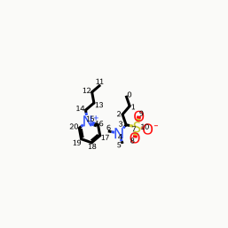 CCCC(N(C)C)S(=O)(=O)[O-].CCCC[n+]1ccccc1